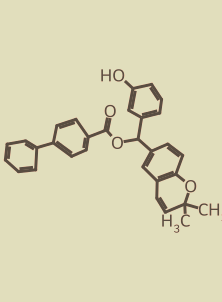 CC1(C)C=Cc2cc(C(OC(=O)c3ccc(-c4ccccc4)cc3)c3cccc(O)c3)ccc2O1